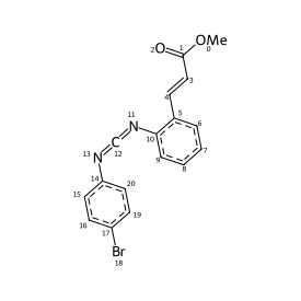 COC(=O)C=Cc1ccccc1N=C=Nc1ccc(Br)cc1